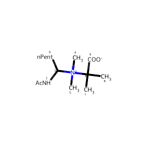 CCCCCC(NC(C)=O)[N+](C)(C)C(C)(C)C(=O)[O-]